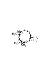 CC1(C)CCCCCC(C)(N)CCC(C)(C)CCC1